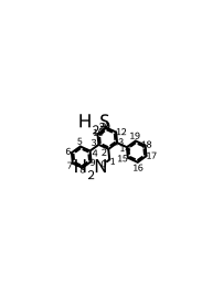 NCc1c(-c2ccccc2)cccc1-c1ccccc1.S